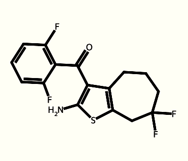 Nc1sc2c(c1C(=O)c1c(F)cccc1F)CCCC(F)(F)C2